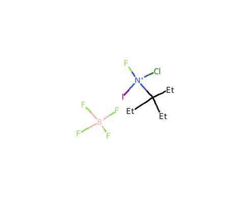 CCC(CC)(CC)[N+](F)(Cl)I.F[B-](F)(F)F